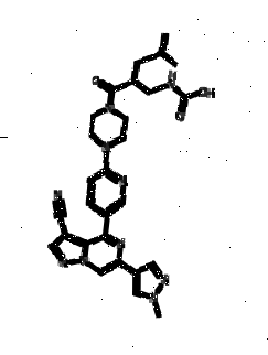 CC(C)CC(CNC(=O)O)C(=O)N1CCN(c2ccc(-c3nc(-c4cnn(C)c4)cn4ncc(C#N)c34)cn2)CC1